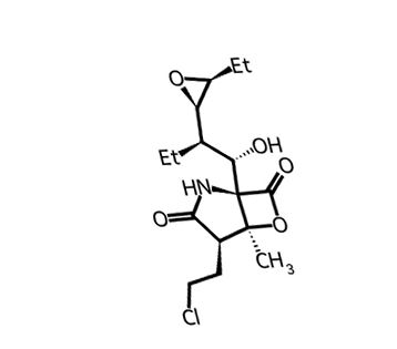 CC[C@@H]([C@H]1O[C@H]1CC)[C@H](O)[C@@]12NC(=O)[C@H](CCCl)[C@]1(C)OC2=O